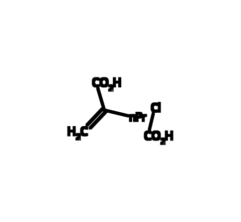 C=C(CCC)C(=O)O.O=C(O)Cl